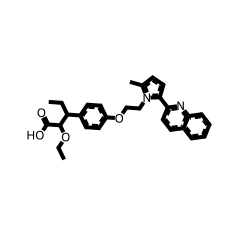 CCOC(C(=O)O)C(CC)c1ccc(OCCn2c(C)ccc2-c2ccc3ccccc3n2)cc1